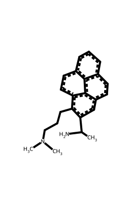 CC(N)c1cc2ccc3cccc4ccc(c1CCCN(C)C)c2c34